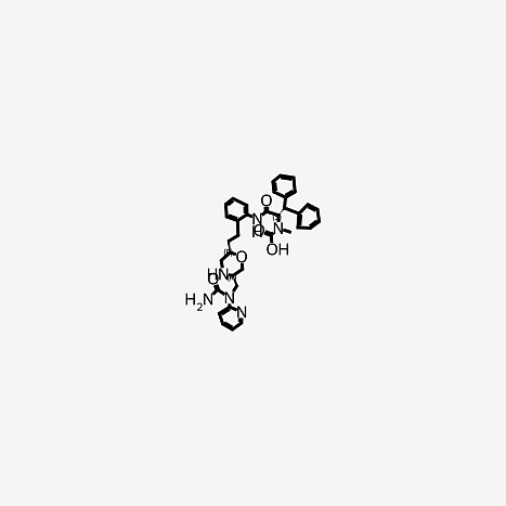 CN(C(=O)O)[C@H](C(=O)Nc1ccccc1CC[C@@H]1CN[C@H](CN(C(N)=O)c2ccccn2)CO1)C(c1ccccc1)c1ccccc1